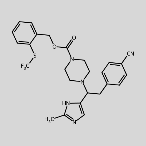 Cc1ncc(C(Cc2ccc(C#N)cc2)N2CCN(C(=O)OCc3ccccc3SC(F)(F)F)CC2)[nH]1